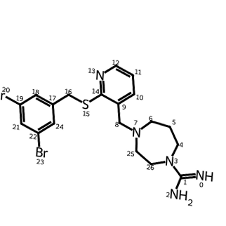 N=C(N)N1CCCN(Cc2cccnc2SCc2cc(Br)cc(Br)c2)CC1